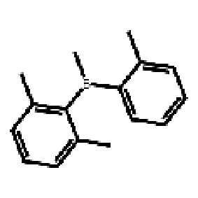 CB(c1ccccc1C)c1c(C)cccc1C